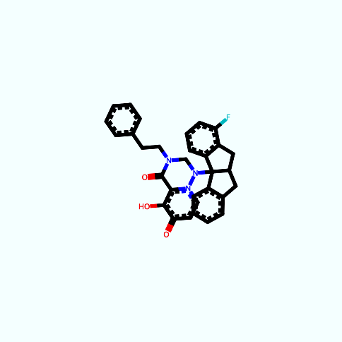 O=C1c2c(O)c(=O)ccn2N(C23c4ccccc4CC2Cc2c(F)cccc23)CN1CCc1ccccc1